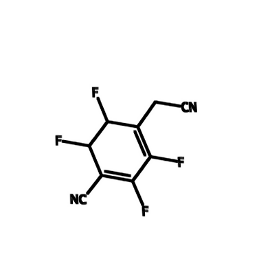 N#CCC1=C(F)C(F)=C(C#N)C(F)C1F